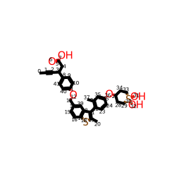 CC#CC(CC(=O)O)c1ccc(OCc2ccc3sc(C)c(-c4ccc(OC5CCS(O)(O)CC5)cc4C)c3c2)cc1